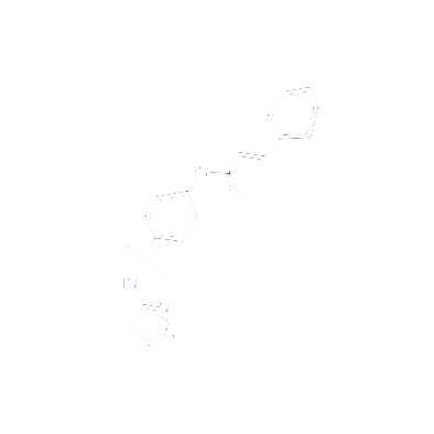 O=C(/C=C/c1ccccc1)Nc1ccc(S(=O)(=O)Nc2nncs2)cc1